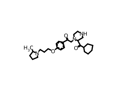 CC1CCCN1CCCOc1ccc(C(=O)CN2CCNCC2C(=O)C2CCCCC2)cc1